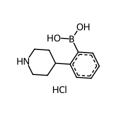 Cl.OB(O)c1ccccc1C1CCNCC1